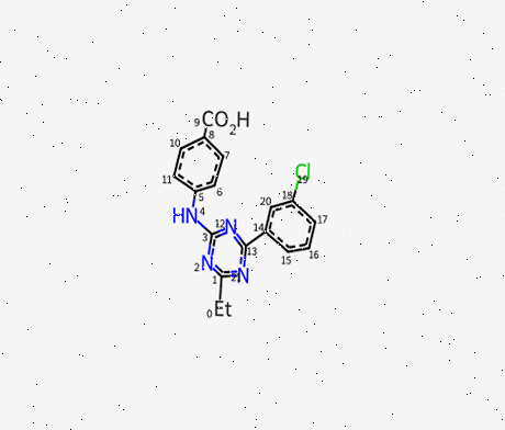 CCc1nc(Nc2ccc(C(=O)O)cc2)nc(-c2cccc(Cl)c2)n1